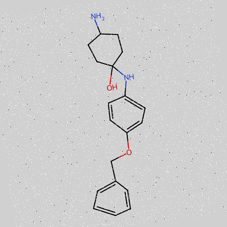 NC1CCC(O)(Nc2ccc(OCc3ccccc3)cc2)CC1